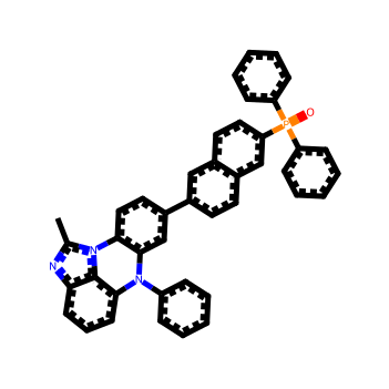 Cc1nc2cccc3c2n1-c1ccc(-c2ccc4cc(P(=O)(c5ccccc5)c5ccccc5)ccc4c2)cc1N3c1ccccc1